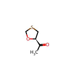 CC(=O)[C@@H]1CSCO1